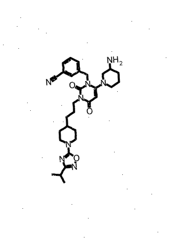 CC(C)c1noc(N2CCC(CCCn3c(=O)cc(N4CCCC(N)C4)n(Cc4cccc(C#N)c4)c3=O)CC2)n1